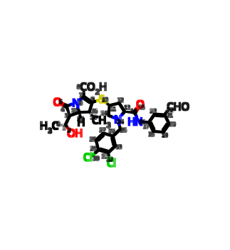 C[C@@H](O)[C@H]1C(=O)N2C(C(=O)O)=C(S[C@H]3C[C@@H](C(=O)Nc4cccc(C=O)c4)N(Cc4ccc(Cl)c(Cl)c4)C3)[C@H](C)[C@H]12